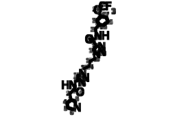 O=C(Cc1cccnc1)Nc1cn(CCCCn2cc(C(=O)NCc3cccc(OC(F)(F)F)c3)nn2)nn1